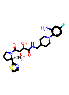 C[C@@]1(c2nccs2)CCCN1C(=O)[C@H](O)[C@@H](O)C(=O)NCC1CCN(c2ccc(F)cc2N)CC1